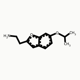 CC(C)Oc1ccc2cc(CCN)oc2c1